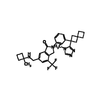 Cn1cnnc1C1(c2cccc(N3Cc4c(cc(CNC5(C)CCC5)cc4C(F)(F)F)C3=O)c2)CC2(CCC2)C1